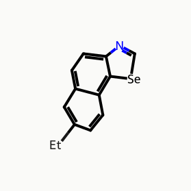 CCc1ccc2c(ccc3nc[se]c32)c1